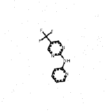 FC(F)(F)c1cnc(Nc2ccccn2)nc1